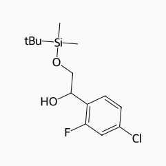 CC(C)(C)[Si](C)(C)OCC(O)c1ccc(Cl)cc1F